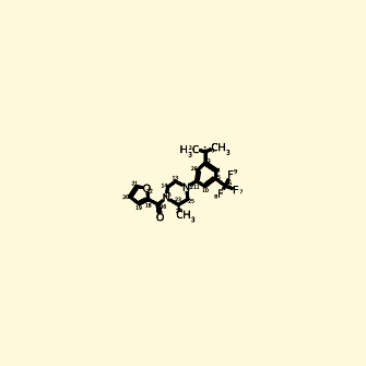 CC(C)c1[c]c(C(F)(F)F)cc(N2CCN(C(=O)c3ccco3)[C@H](C)C2)c1